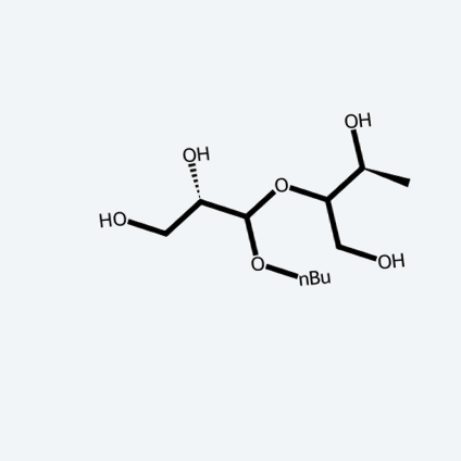 CCCCOC(OC(CO)[C@H](C)O)[C@@H](O)CO